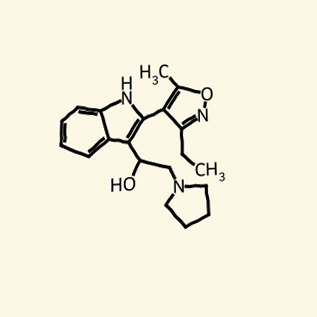 CCc1noc(C)c1-c1[nH]c2ccccc2c1C(O)CN1CCCC1